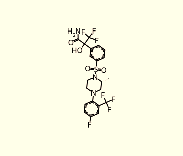 C[C@@H]1CN(c2ccc(F)cc2C(F)(F)F)CCN1S(=O)(=O)c1cccc(C(O)(C(N)=O)C(F)(F)F)c1